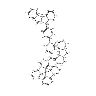 c1ccc2c(c1)-c1ccccc1C21c2ccccc2-c2ccc(N(c3ccc(-c4ccc(-n5c6ccccc6n6c7ccccc7nc56)cc4)cc3)c3cccc4sc5ccccc5c34)cc21